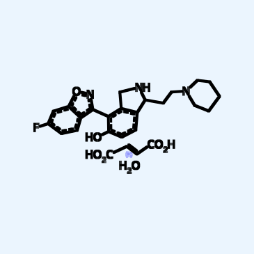 O.O=C(O)/C=C/C(=O)O.Oc1ccc2c(c1-c1noc3cc(F)ccc13)CNC2CCN1CCCCC1